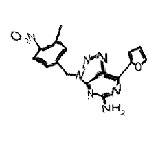 Cc1cc(Cn2nnc3c(-c4ccco4)nc(N)nc32)ccc1[N+](=O)[O-]